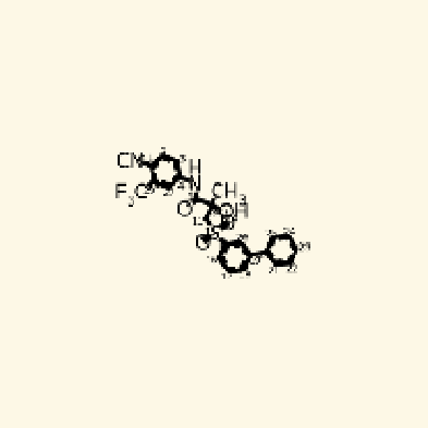 [C-]#[N+]c1ccc(NC(=O)C(C)(O)CS(=O)(=O)c2cccc(-c3ccccc3)c2)cc1C(F)(F)F